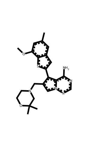 COc1cc(C)cc2cc(-c3c(CN4CCOC(C)(C)C4)cn4ncnc(N)c34)sc12